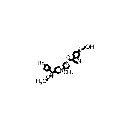 CCO/N=C(\c1ccc(Br)cc1)C1CCN(C2(C)CCN(C(=O)c3ccnc4cc(OCCO)ccc34)CC2)CC1